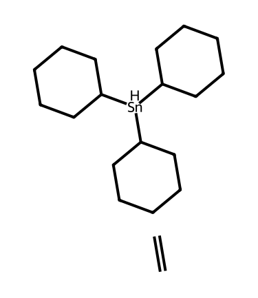 C1CC[CH]([SnH]([CH]2CCCCC2)[CH]2CCCCC2)CC1.C=C